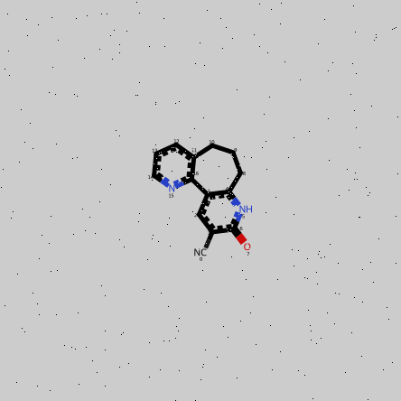 N#Cc1cc2c([nH]c1=O)CCCc1cccnc1-2